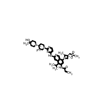 C=CC(=O)Nc1cc(N2C[C@H](CS(C)(=O)=O)[C@H]2C)c2cnc(Nc3ccnc(N4CC[C@@H](N5CCC(C)(O)CC5)[C@@H](F)C4)n3)cc2c1C(C)C